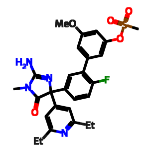 CCc1cc(C2(c3ccc(F)c(-c4cc(OC)cc(OS(C)(=O)=O)c4)c3)N=C(N)N(C)C2=O)cc(CC)n1